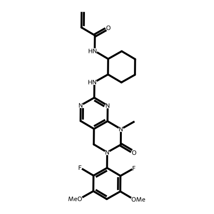 C=CC(=O)NC1CCCCC1Nc1ncc2c(n1)N(C)C(=O)N(c1c(F)c(OC)cc(OC)c1F)C2